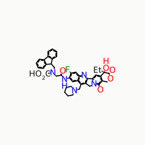 CC[C@@]1(O)C(=O)OCc2c1cc1n(c2=O)Cc2c-1nc1cc(F)c(NC(=O)CN(CC3c4ccccc4-c4ccccc43)C(=O)O)cc1c2CN1CCCCC1